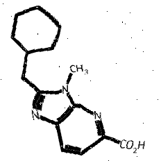 Cn1c(CC2CCCCC2)nc2ccc(C(=O)O)nc21